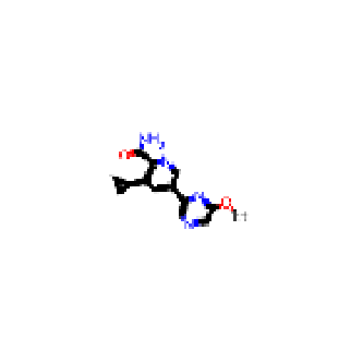 CCOc1cncc(-c2cnc(C(N)=O)c(C3CC3)c2)n1